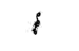 C[C@@H](NC(=O)C(=O)N[C@H]1COc2ccc(C#CCN3CCC(=O)CC3)cc2N(C)C1=O)c1ccccc1